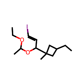 CCOC(C)OC(/C=C/I)C1(C)CC(CC)C1